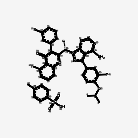 CC(C)Oc1ccc(-c2nn([C@@H](C)c3oc4cccc(F)c4c(=O)c3-c3cccc(F)c3)c3ncnc(N)c23)cc1F.Cc1ccc(S(=O)(=O)O)cc1